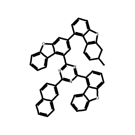 CC1C=Cc2c(sc3cccc(-c4cc(-c5nc(-c6ccc7ccccc7c6)nc(-c6cccc7oc8ccccc8c67)n5)c5c(c4)oc4ccccc45)c23)C1